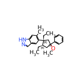 CC[C@@H]1C[C@@](OC)(c2ccccc2)C[C@@]1(CC)c1cc2cn[nH]c2cc1C